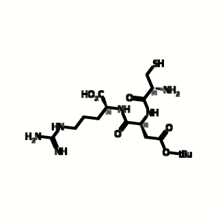 CC(C)(C)OC(=O)C[C@H](NC(=O)[C@@H](N)CS)C(=O)N[C@@H](CCCNC(=N)N)C(=O)O